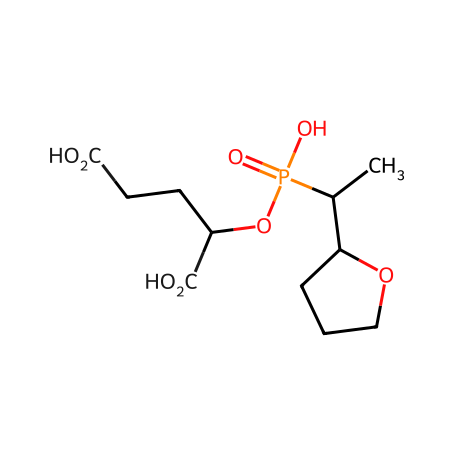 CC(C1CCCO1)P(=O)(O)OC(CCC(=O)O)C(=O)O